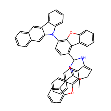 CC1C/C=C(\c2ccc3c(c2)oc2ccccc23)NC(c2ccc(-n3c4ccccc4c4cc5ccccc5cc43)c3oc4ccccc4c23)/N=C\1c1ccccc1